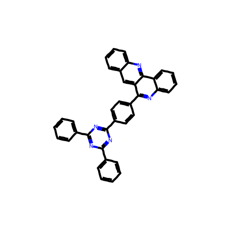 c1ccc(-c2nc(-c3ccccc3)nc(-c3ccc(-c4nc5ccccc5c5nc6ccccc6cc45)cc3)n2)cc1